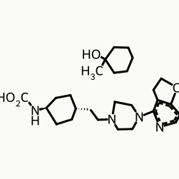 CC1(O)CCCCC1.O=C(O)N[C@H]1CC[C@H](CCN2CCN(c3nccc4c3CCO4)CC2)CC1